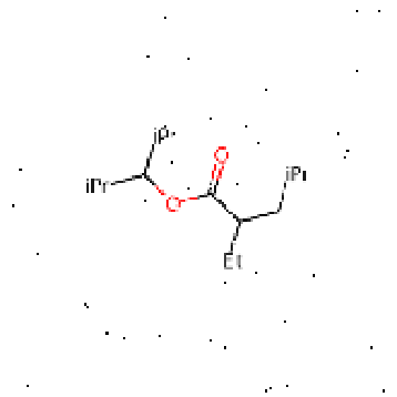 CCC(CC(C)C)C(=O)OC(C(C)C)C(C)C